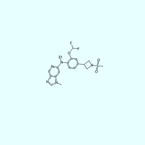 CCN(c1cc2c(cn1)ncn2C)c1ccc(C2CN(S(C)(=O)=O)C2)cc1OC(F)F